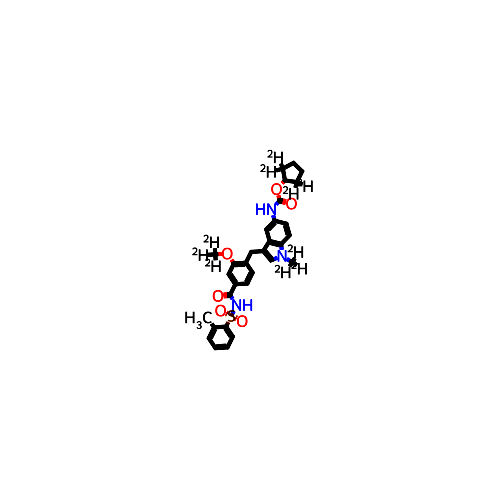 [2H]C([2H])([2H])Oc1cc(C(=O)NS(=O)(=O)c2ccccc2C)ccc1Cc1cn(C([2H])([2H])[2H])c2ccc(NC(=O)OC3C([2H])([2H])CCC3([2H])[2H])cc12